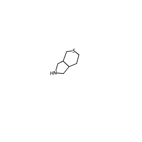 C1CC2CNC[C]2CS1